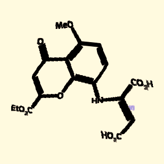 CCOC(=O)c1cc(=O)c2c(OC)ccc(N/C(=C\C(=O)O)C(=O)O)c2o1